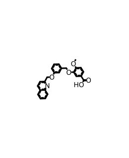 COc1ccc(C(=O)O)cc1OCc1cccc(OCc2ccc3ccccc3n2)c1